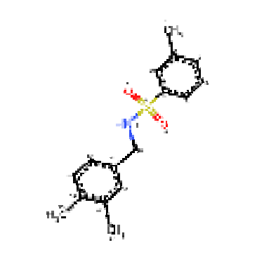 Cc1cccc(S(=O)(=O)NCc2ccc(C)c(C)c2)c1